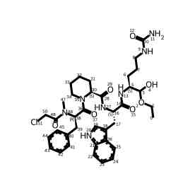 CCOC(O)[C@H](CCCNC(N)=O)NC(=O)[C@H](Cc1c[nH]c2ccccc12)NC(=O)[C@@H]1CCCCN1C(=O)[C@@H](Cc1ccccc1)N(C)C(=O)CCl